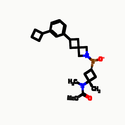 COC(=O)N(C)[C@]1(C)C[C@H]([S+]([O-])N2CC3(CC(c4cccc(C5CCC5)c4)C3)C2)C1